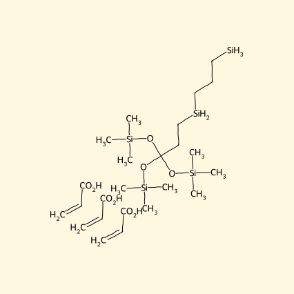 C=CC(=O)O.C=CC(=O)O.C=CC(=O)O.C[Si](C)(C)OC(CC[SiH2]CCC[SiH3])(O[Si](C)(C)C)O[Si](C)(C)C